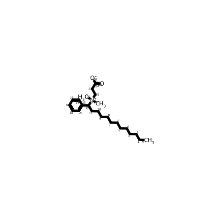 CCCCCCCCCCCCC(c1ccccc1)[N+](C)(C)CCC(=O)[O-]